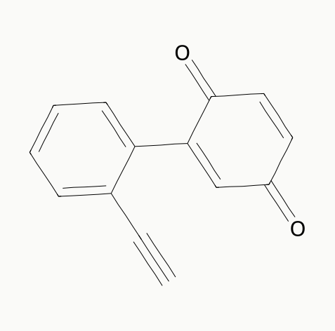 C#Cc1ccccc1C1=CC(=O)C=CC1=O